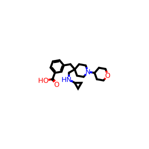 O=C(O)c1cccc(CC2(CNC3CC3)CCN(C3CCOCC3)CC2)c1